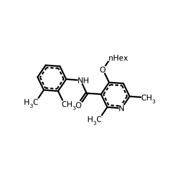 CCCCCCOc1cc(C)nc(C)c1C(=O)Nc1cccc(C)c1C